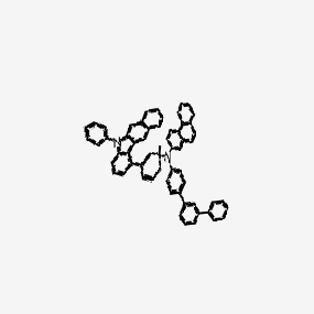 CC1(N(c2ccc(-c3cccc(-c4ccccc4)c3)cc2)c2ccc3c(ccc4ccccc43)c2)C=C(c2cccc3c2c2cc4ccccc4cc2n3-c2ccccc2)C=CC1